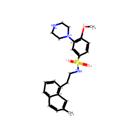 COc1ccc(S(=O)(=O)NCCc2cccc3ccc(C)cc23)cc1N1CCNCC1